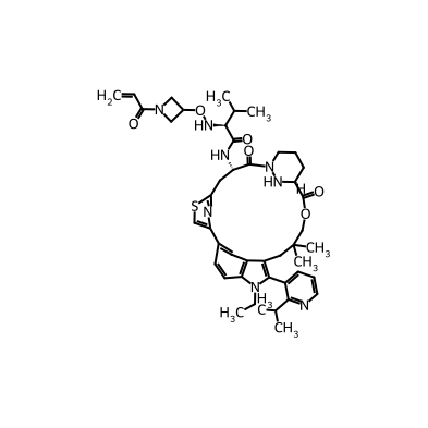 C=CC(=O)N1CC(ON[C@H](C(=O)N[C@H]2Cc3nc(cs3)-c3ccc4c(c3)c(c(-c3cccnc3C(C)C)n4CC)CC(C)(C)COC(=O)[C@@H]3CCCN(N3)C2=O)C(C)C)C1